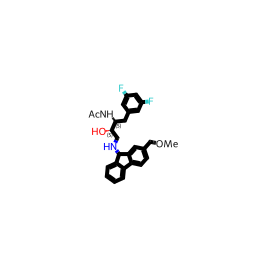 COCc1ccc2c(c1)C(NC[C@H](O)[C@H](Cc1cc(F)cc(F)c1)NC(C)=O)c1ccccc1-2